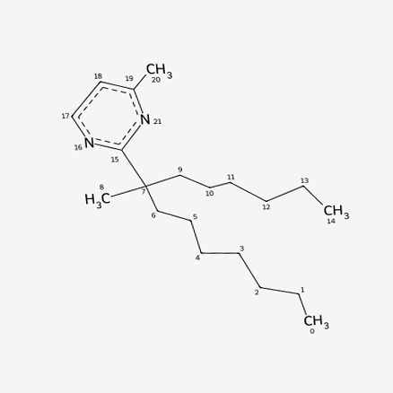 CCCCCCCC(C)(CCCCCC)c1nccc(C)n1